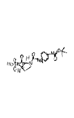 CC(C)(C)OC(=O)Nc1ccc(NC(=O)N2CC[C@@H]3[C@H]2C(=O)N3S(=O)(=O)O)cc1